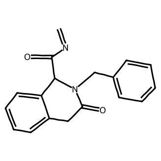 C=NC(=O)C1c2ccccc2CC(=O)N1Cc1ccccc1